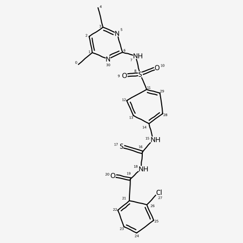 Cc1cc(C)nc(NS(=O)(=O)c2ccc(NC(=S)NC(=O)c3ccccc3Cl)cc2)n1